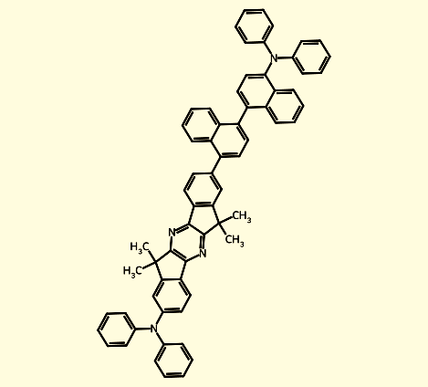 CC1(C)c2cc(-c3ccc(-c4ccc(N(c5ccccc5)c5ccccc5)c5ccccc45)c4ccccc34)ccc2-c2nc3c(nc21)-c1ccc(N(c2ccccc2)c2ccccc2)cc1C3(C)C